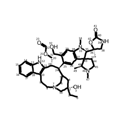 CC[C@]1(O)CC2CN(CCc3c([nH]c4ccccc34)[C@H](COC=O)[C@H]2c2cc3c(cc2CO)N(C)[C@@H]([C@]2(C)CNC(=O)O2)C32CCN(C)[C@H]2C)C1